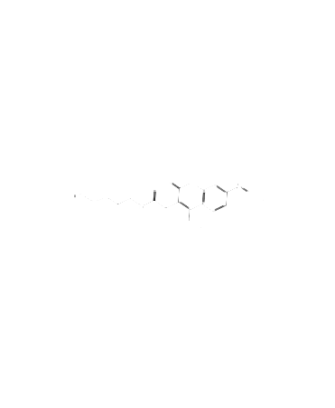 C=Nc1ccc2c(C)c(CC(=O)NCCSSCCC)c(=O)oc2c1